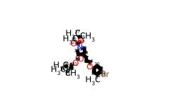 Cc1cc(OCCCC2(OCOCC[Si](C)(C)C)CCN(C(=O)OC(C)(C)C)CC2)ccc1Br